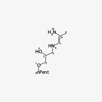 CCCCCOCC(O)CNC=C(C)N